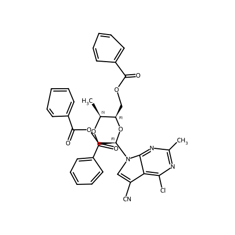 Cc1nc(Cl)c2c(C#N)cn([C@@H](COC(=O)c3ccccc3)O[C@H](COC(=O)c3ccccc3)[C@H](C)OC(=O)c3ccccc3)c2n1